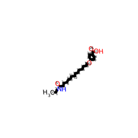 CCCNC(=O)CCCCCCCCCCCCCCOc1ccc(C(=O)O)cc1